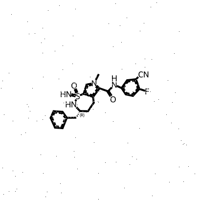 Cn1cc2c(c1C(=O)Nc1ccc(F)c(C#N)c1)CC[C@H](Cc1ccccc1)NS2(=N)=O